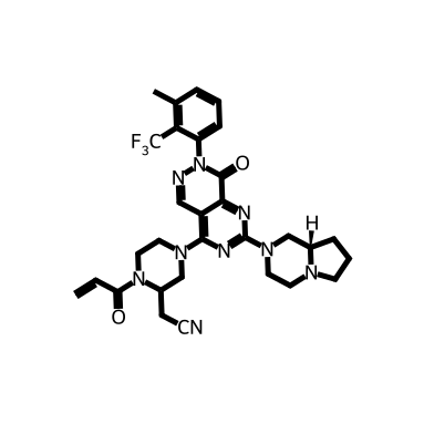 C=CC(=O)N1CCN(c2nc(N3CCN4CCC[C@H]4C3)nc3c(=O)n(-c4cccc(C)c4C(F)(F)F)ncc23)CC1CC#N